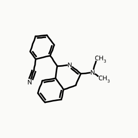 CN(C)C1=NC(c2ccccc2C#N)c2ccccc2C1